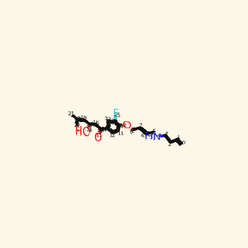 C=CCCNCC=CCOc1ccc(C(=O)CC(O)C=C(C)C)cc1F